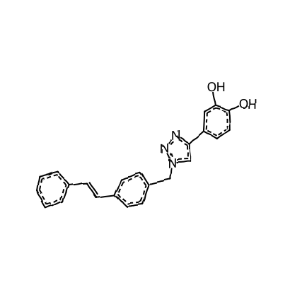 Oc1ccc(-c2cn(Cc3ccc(C=Cc4ccccc4)cc3)nn2)cc1O